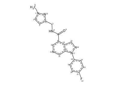 Cn1ccc(CNC(=O)c2cncc3c2cnn3-c2ccc(F)cc2)n1